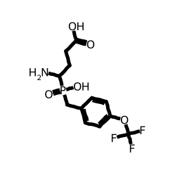 NC(CCC(=O)O)P(=O)(O)Cc1ccc(OC(F)(F)F)cc1